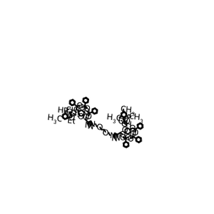 CCc1cc(C)cc(PC)c1S(=O)(=O)OC[C@H]1O[C@@H](OCc2cn(CCOCCOCCn3cc(CO[C@@H]4O[C@H](COS(=O)(=O)c5c(C)cc(C)cc5PC)C(OC(=O)c5ccccc5)[C@H](OC(=O)c5ccccc5)[C@@H]4OC(=O)c4ccccc4)nn3)nn2)[C@@H](OC(=O)c2ccccc2)[C@@H](OC(=O)c2ccccc2)C1OC(=O)c1ccccc1